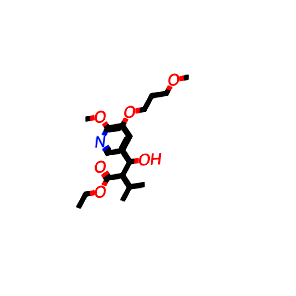 CCOC(=O)C(C(C)C)C(O)c1cnc(OC)c(OCCCOC)c1